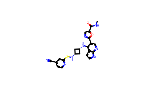 CNC(=O)c1cnc(-c2cnc3[nH]ccc3c2N[C@H]2C[C@@H](NSc3cc(C#N)ccn3)C2)o1